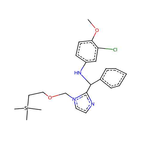 COc1ccc(NC(c2ccccc2)c2nccn2COCC[Si](C)(C)C)cc1Cl